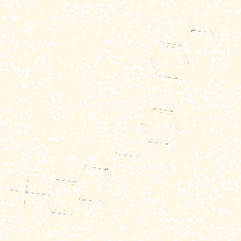 CNC(=O)c1cc(Oc2ccc(CNC(=O)Nc3cc(C(F)(F)F)c(Cl)cc3NC)cc2)ccn1